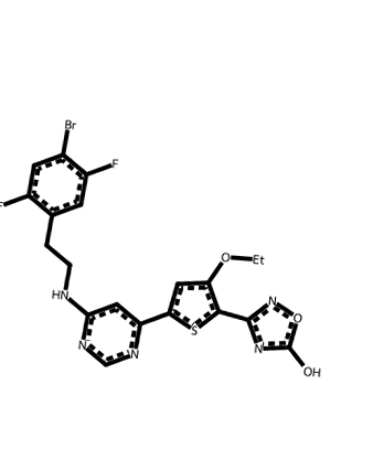 CCOc1cc(-c2cc(NCCc3cc(F)c(Br)cc3F)ncn2)sc1-c1noc(O)n1